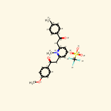 COc1ccc(C(=O)Cc2cccc(CC(=O)c3ccc(C)cc3)[n+]2C)cc1.O=S(=O)([O-])C(F)(F)F